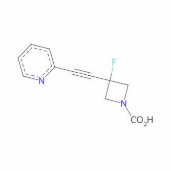 O=C(O)N1CC(F)(C#Cc2ccccn2)C1